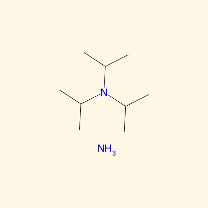 CC(C)N(C(C)C)C(C)C.N